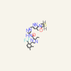 CCc1ncc(-c2c(C(F)F)ccc(C)c2C)nc1C(=O)Nc1cnn(Cc2cc(C)c(N3C[C@H]4S[C@H]4C3=O)nn2)c1